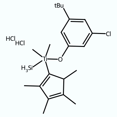 CC1=C(C)C(C)[C]([Ti]([CH3])([CH3])([SiH3])[O]c2cc(Cl)cc(C(C)(C)C)c2)=C1C.Cl.Cl